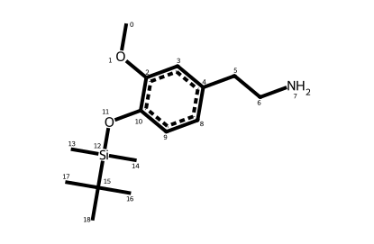 COc1cc(CCN)ccc1O[Si](C)(C)C(C)(C)C